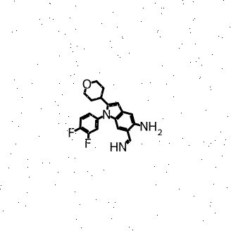 N=Cc1cc2c(cc1N)cc(C1CCOCC1)n2-c1ccc(F)c(F)c1